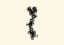 O=C1CCN(N2C(=O)c3ccc(CN4C[C@@H]5C[C@H]4CN5c4ccc(-c5cc(F)c6c(c5)C(=O)N(C(C(=O)Nc5nccs5)c5ncn7c5CCC7)C6)cc4)cc3C2=O)C(=O)N1